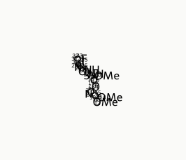 COc1cc(Oc2ccnc3cc(OC)c(OC)cc23)ccc1NC(=S)NC(=O)Cn1ncc2cccc(F)c21